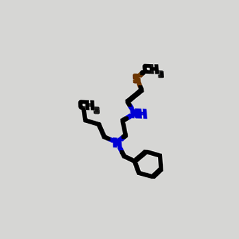 CCCCN(CCNCCSC)CC1CCCCC1